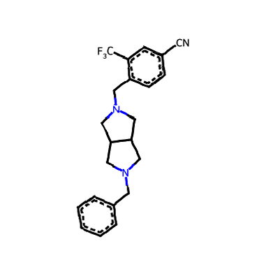 N#Cc1ccc(CN2CC3CN(Cc4ccccc4)CC3C2)c(C(F)(F)F)c1